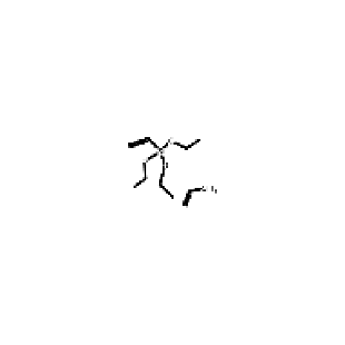 C=C[SiH3].C=C[Si](OCC)(OCC)OCC